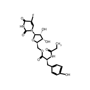 CCC(=O)N[C@@H](Cc1ccc(O)cc1)C(=O)OC[C@H]1O[C@@H](n2cc(F)c(=O)[nH]c2=O)[C@H](O)[C@@H]1O